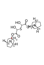 CN1[C@@H]2CC[C@H]1CC(OC(=O)C(O)SC(O)C(=O)OC1C[C@H]3CC[C@@H](C1)N3C)C2